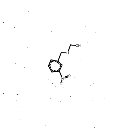 O=[N+]([O-])c1cccc(COCO)c1